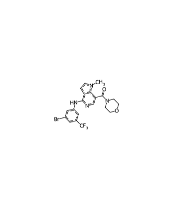 Cn1ccc2c(Nc3cc(Br)cc(C(F)(F)F)c3)ncc(C(=O)N3CCOCC3)c21